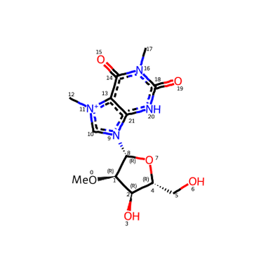 CO[C@@H]1[C@H](O)[C@@H](CO)O[C@H]1n1c[n+](C)c2c(=O)n(C)c(=O)[nH]c21